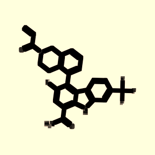 C=CC(=O)N1CCc2c(cccc2-c2c(F)cc(C(N)=O)c3[nH]c4cc(C(F)(F)F)ccc4c23)C1